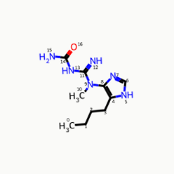 CCCCc1[nH]cnc1N(C)C(=N)NC(N)=O